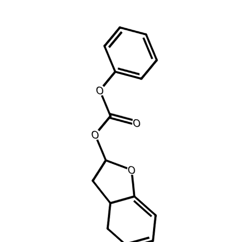 O=C(Oc1ccccc1)OC1CC2CC=CC=C2O1